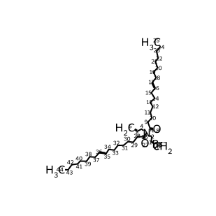 C=CC[N+](CC=C)(C(=O)CCCCCCCC=CCCCCCCCC)C(=O)CCCCCCCC=CCCCCCCCC.[Br-]